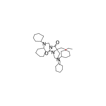 CCCCC1(CCCC)C(=O)N(CN(C2CCCCC2)C2CCCCC2)C(=O)N1CN(C1CCCCC1)C1CCCCC1